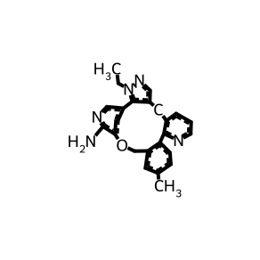 CCn1ncc2c1-c1cnc(N)c(c1)OCc1cc(C)ccc1-c1ncccc1C2